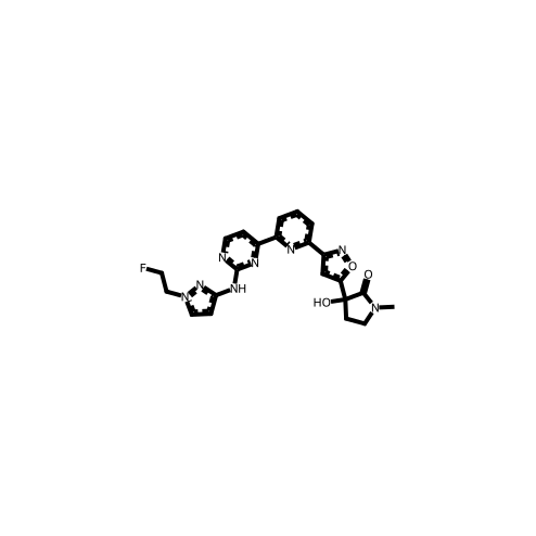 CN1CCC(O)(c2cc(-c3cccc(-c4ccnc(Nc5ccn(CCF)n5)n4)n3)no2)C1=O